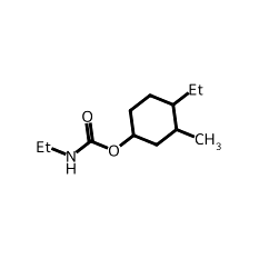 CCNC(=O)OC1CCC(CC)C(C)C1